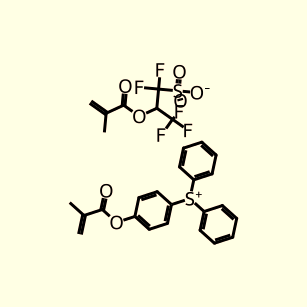 C=C(C)C(=O)OC(C(F)(F)F)C(F)(F)S(=O)(=O)[O-].C=C(C)C(=O)Oc1ccc([S+](c2ccccc2)c2ccccc2)cc1